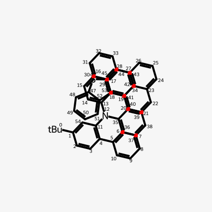 CC(C)(C)c1ccc(-c2ccccc2)c(N(c2ccccc2-c2cccc3cccc(-c4ccccc4)c23)c2ccccc2-c2cccc3sc4ccccc4c23)c1